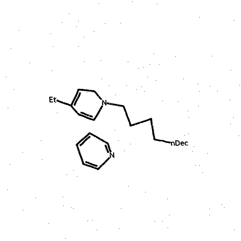 CCCCCCCCCCCCCCN1C=CC(CC)=CC1.c1ccncc1